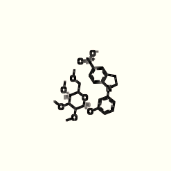 COCC1O[C@H](Oc2cccc(N3CCc4cc([N+](=O)[O-])ccc43)c2)C(OC)C(OC)[C@@H]1OC